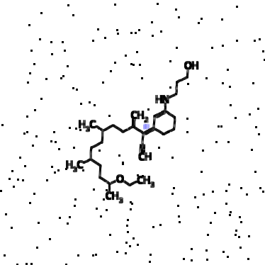 C#C/C(C(=C)CCC(C)CCC(C)CCC(C)OCC)=C1/C=C(NCCCO)CCC1